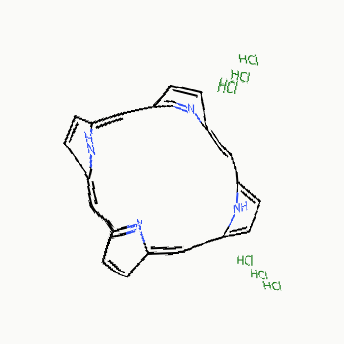 C1=Cc2cc3ccc(cc4nc(cc5ccc(cc1n2)[nH]5)C=C4)[nH]3.Cl.Cl.Cl.Cl.Cl.Cl